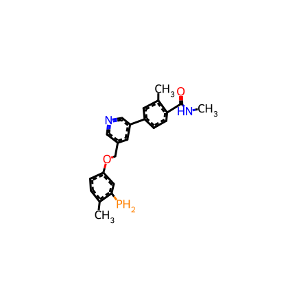 CNC(=O)c1ccc(-c2cncc(COc3ccc(C)c(P)c3)c2)cc1C